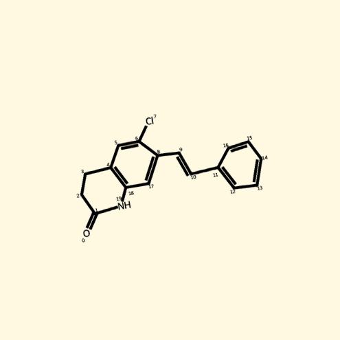 O=C1CCc2cc(Cl)c(C=Cc3ccccc3)cc2N1